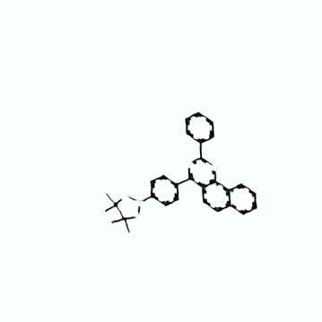 CC1(C)OB(c2ccc(-c3nc(-c4ccccc4)nc4c3ccc3ccccc34)cc2)OC1(C)C